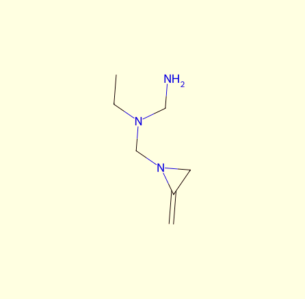 C=C1CN1CN(CC)CN